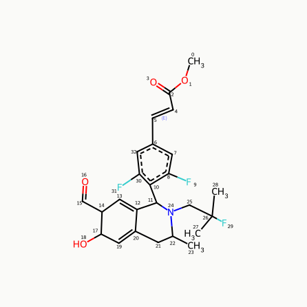 COC(=O)/C=C/c1cc(F)c(C2C3=CC(C=O)C(O)C=C3CC(C)N2CC(C)(C)F)c(F)c1